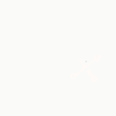 CCCCCCP(=O)([O-])[O-].[Cu+2]